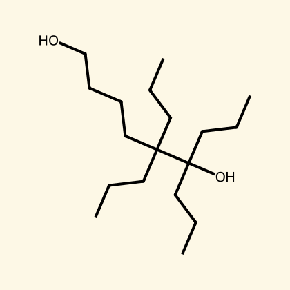 CCCC(O)(CCC)C(CCC)(CCC)CCCCO